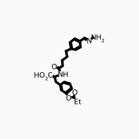 CCC1Oc2ccc(CC(NC(=O)CCCCc3ccc(C=NN)cc3)C(=O)O)cc2O1